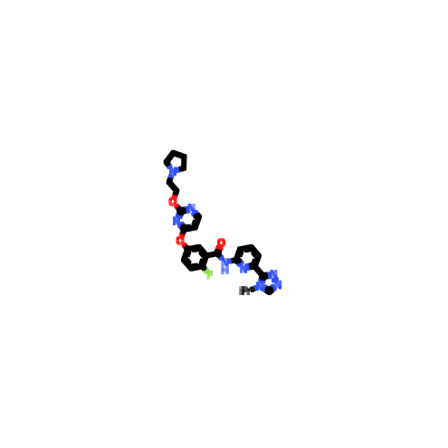 CC(C)n1cnnc1-c1cccc(NC(=O)c2cc(Oc3ccnc(OCCN4CCCC4)n3)ccc2F)n1